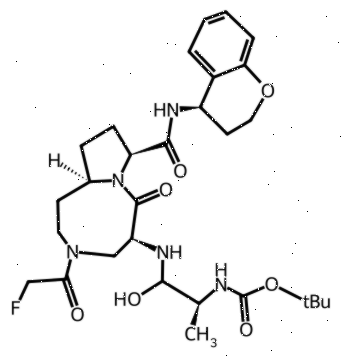 C[C@H](NC(=O)OC(C)(C)C)C(O)N[C@H]1CN(C(=O)CF)CC[C@H]2CC[C@@H](C(=O)N[C@@H]3CCOc4ccccc43)N2C1=O